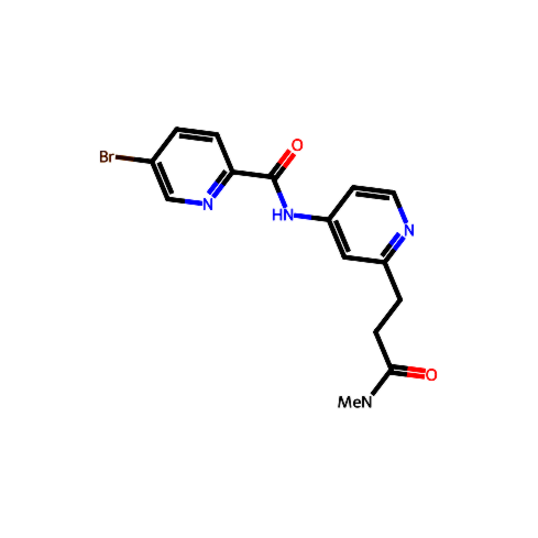 CNC(=O)CCc1cc(NC(=O)c2ccc(Br)cn2)ccn1